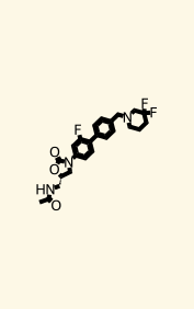 CC(=O)NC[C@H]1CN(c2ccc(-c3ccc(CN4CCCC(F)(F)C4)cc3)c(F)c2)C(=O)O1